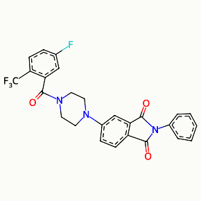 O=C(c1cc(F)ccc1C(F)(F)F)N1CCN(c2ccc3c(c2)C(=O)N(c2ccccc2)C3=O)CC1